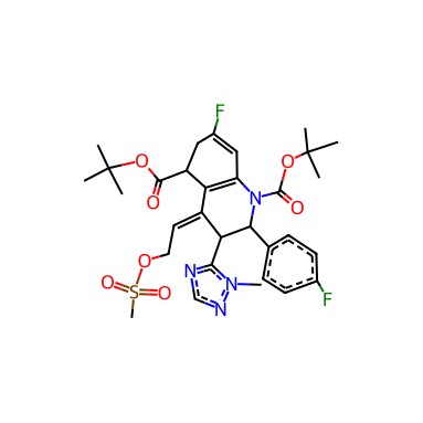 Cn1ncnc1C1/C(=C\COS(C)(=O)=O)C2=C(C=C(F)CC2C(=O)OC(C)(C)C)N(C(=O)OC(C)(C)C)C1c1ccc(F)cc1